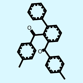 Cc1ccc(C(=O)c2cccc(-c3ccccc3)c2C(=O)c2ccc(C)cc2)cc1